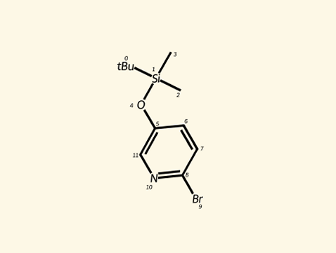 CC(C)(C)[Si](C)(C)Oc1ccc(Br)nc1